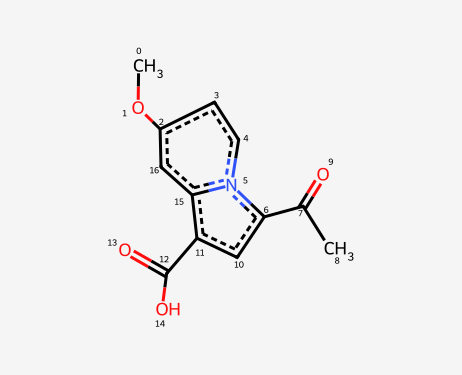 COc1ccn2c(C(C)=O)cc(C(=O)O)c2c1